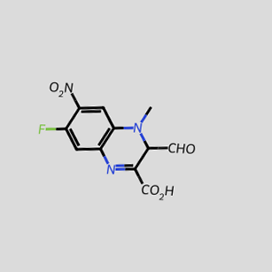 CN1c2cc([N+](=O)[O-])c(F)cc2N=C(C(=O)O)C1C=O